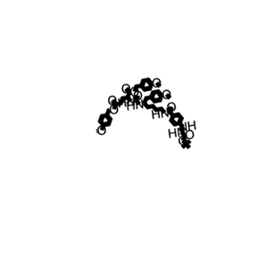 COc1ccc(COC(=O)CCC(NC(=O)NC(CCCCNC(=O)c2ccc(NNC(=O)OC(C)(C)C)cc2)Cc2ccc(OC)cc2)C(=O)OCc2ccc(OC)cc2)cc1